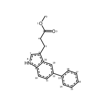 COC(=O)CCc1c[nH]c2ccc(-c3ccccc3)cc12